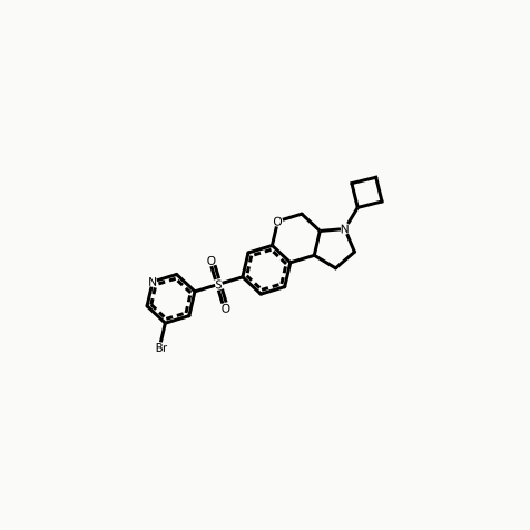 O=S(=O)(c1cncc(Br)c1)c1ccc2c(c1)OCC1C2CCN1C1CCC1